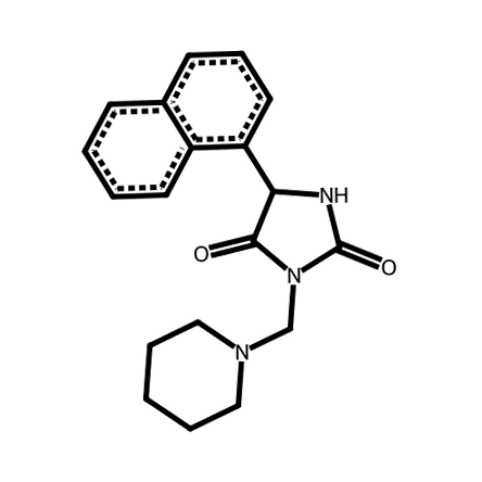 O=C1NC(c2cccc3ccccc23)C(=O)N1CN1CCCCC1